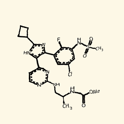 COC(=O)N[C@@H](C)CNc1nccc(-c2[nH]c(C3CCC3)nc2-c2cc(Cl)cc(NS(C)(=O)=O)c2F)n1